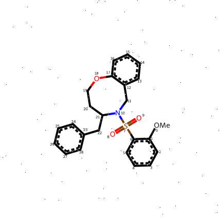 COc1ccccc1S(=O)(=O)N1Cc2ccccc2OCCC1Cc1ccccc1